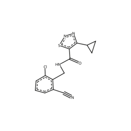 N#Cc1cccc(Cl)c1CNC(=O)c1snnc1C1CC1